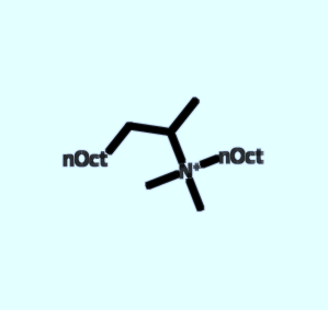 CCCCCCCCCC(C)[N+](C)(C)CCCCCCCC